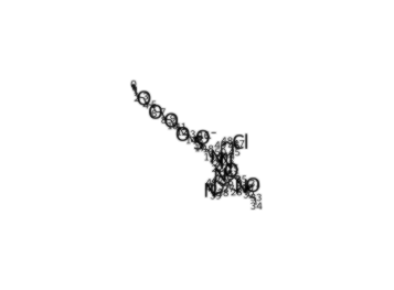 C#CCOCCOCCOCCOCC[S+]([O-])CCCn1c(CN2C(=O)C3(CCN(C(=O)CCC)CC3)c3ccncc32)nc2cc(Cl)ccc21